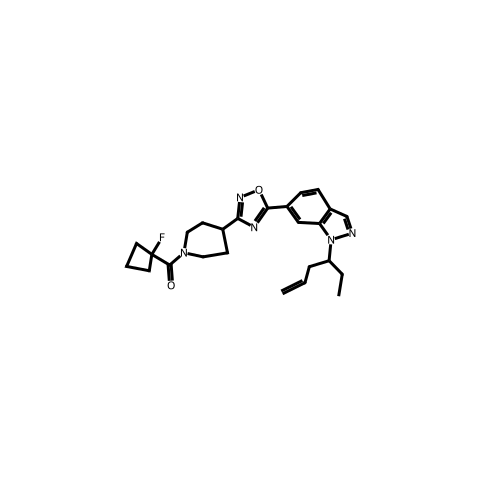 C=CCC(CC)n1ncc2ccc(-c3nc(C4CCN(C(=O)C5(F)CCC5)CC4)no3)cc21